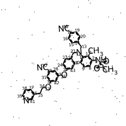 Cc1c(NS(C)(=O)=O)cccc1N(Cc1ccc(C#N)cc1)Cc1ccc(Oc2cc(C#N)cc(OCCc3cccnc3)c2)cc1